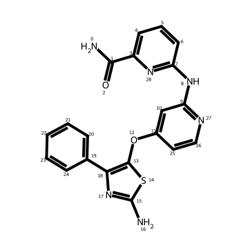 NC(=O)c1cccc(Nc2cc(Oc3sc(N)nc3-c3ccccc3)ccn2)n1